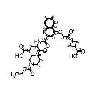 CCOC(=O)N1CCN(C(=O)C(CCC(=O)O)NC(=O)c2cc(OCC(=O)N3CC(C(=O)O)C3)c3ccccc3n2)CC1